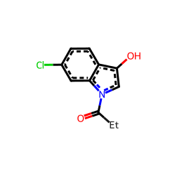 CCC(=O)n1cc(O)c2ccc(Cl)cc21